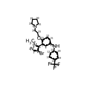 Cn1ncc(Br)c1-c1cc(Nc2ccc(C(F)(F)F)cc2)ccc1OCCN1CCCC1